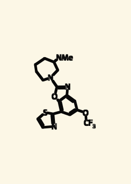 CNC1CCCCN(c2nc3cc(OC(F)(F)F)cc(-c4nccs4)c3o2)C1